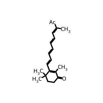 CC(=O)C(C)=CC=CC=CC=CC1=C(C)C(=O)CCC1(C)C